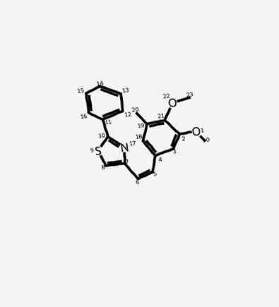 COc1cc(/C=C\c2csc(-c3ccccc3)n2)cc(C)c1OC